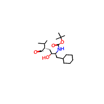 CC(C)[C@@H]([C]=O)C[C@H](O)[C@H](CC1CCCCC1)NC(=O)OC(C)(C)C